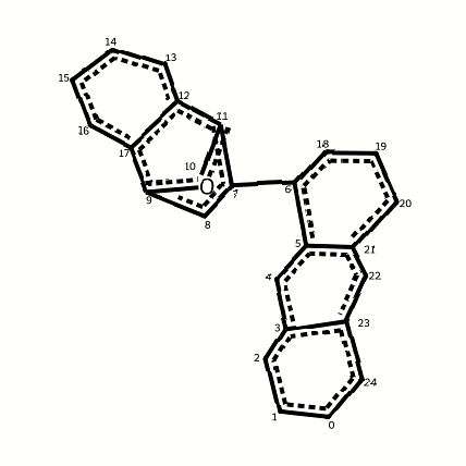 c1ccc2cc3c(-c4cc5oc4c4ccccc54)cccc3cc2c1